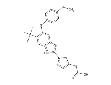 COc1ccc(Sc2cc3nc(-n4cc(OC(=O)O)cn4)[nH]c3cc2C(F)(F)F)cc1